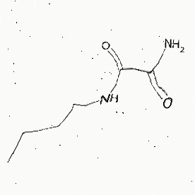 CCCCNC(=O)C(N)=O